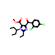 CCc1nc(C(=O)c2ccc(Cl)cc2Cl)c(C(=O)OC)n1C(CC)CC